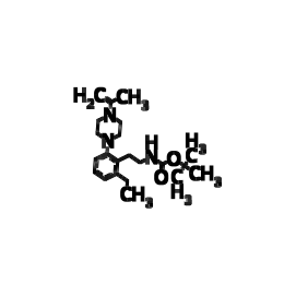 C=C(C)N1CCN(c2cccc(CC)c2CCNC(=O)OC(C)(C)C)CC1